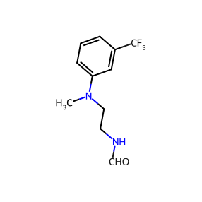 CN(CCNC=O)c1cccc(C(F)(F)F)c1